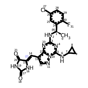 C[C@@H](Nc1nc(NC2CC2)n2ncc(/C=C3\NC(=O)NC3=O)c2n1)c1cc(Cl)ccc1F